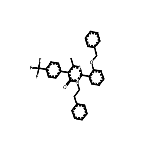 Cc1nc(-c2ccccc2OCc2ccccc2)n(CCc2ccccc2)c(=O)c1-c1ccc(C(F)(F)F)cc1